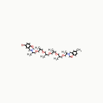 Cc1ccc2c(c1)CN(C(C)COCC(C)COCC(C)COCC(C)COCC(C)COCC(C)N1COc3ccc(Br)cc3C1)CO2